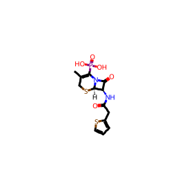 CC1=C(P(=O)(O)O)N2C(=O)[C@@H](NC(=O)Cc3cccs3)[C@H]2SC1